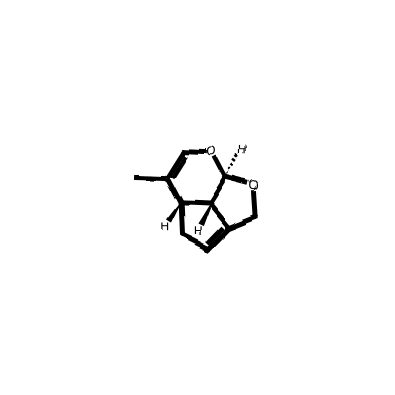 CC1=CO[C@H]2OCC3=CC[C@H]1[C@@H]32